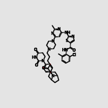 Cc1nc(Nc2ncc(C(=O)Nc3c(C)cccc3Cl)s2)cc(N2CCN(CCCCC(=O)N3CC4CCC(C3)N4c3ccc(N4CCC(=O)NC4=O)cc3)CC2)n1